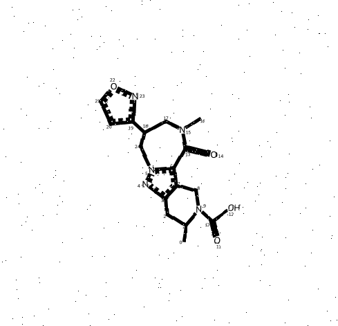 CC1Cc2nn3c(c2CN1C(=O)O)C(=O)N(C)CC(c1ccon1)C3